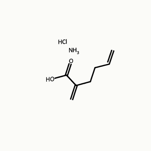 C=CCCC(=C)C(=O)O.Cl.N